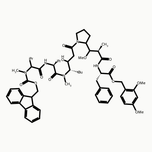 CCC(C)[C@@H](C(O)CC(=O)N1CCCC1C(OC)[C@@H](C)C(=O)N[C@@H](Cc1ccccc1)C(=O)OCc1ccc(OC)cc1OC)N(C)C(=O)[C@@H](NC(=O)C(C(C)C)N(C)C(=O)OCC1c2ccccc2-c2ccccc21)C(C)C